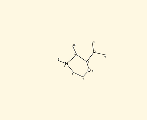 CC(C)C1OCCN(C)C1C